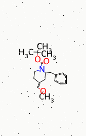 CO/C=C1/CCN(C(=O)OC(C)(C)C)C(Cc2ccccc2)C1